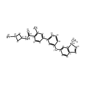 CCc1cc(-c2cc(Oc3ccc4cnn(C)c4c3)ccn2)ccc1C(=O)NC1CN(C(C)C)C1